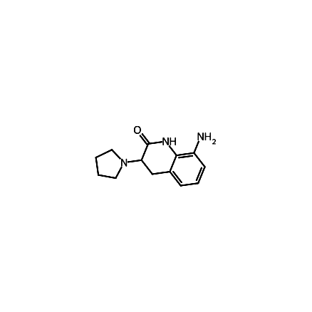 Nc1cccc2c1NC(=O)C(N1CCCC1)C2